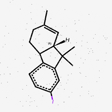 CC1=C[C@H]2C(CC1)c1ccc(I)cc1C2(C)C